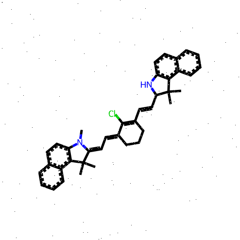 CN1/C(=C\C=C2/CCCC(/C=C/C3Nc4ccc5ccccc5c4C3(C)C)=C2Cl)C(C)(C)c2c1ccc1ccccc21